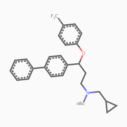 CCCCN(CCC(Oc1ccc(C(F)(F)F)cc1)c1ccc(-c2ccccc2)cc1)CC1CC1